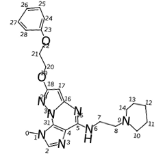 Cn1cnc2c(NCCN3CCCCC3)nc3cc(OCCOc4ccccc4)nn3c21